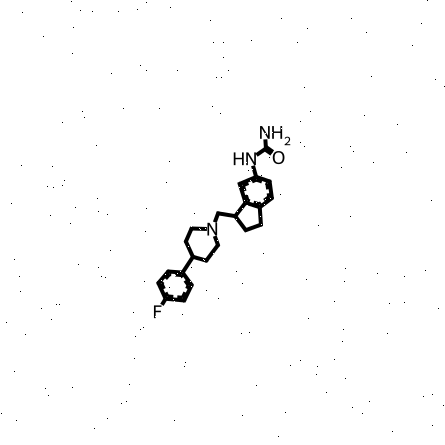 NC(=O)Nc1ccc2c(c1)C(CN1CCC(c3ccc(F)cc3)CC1)CC2